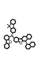 CC1(C)c2ccccc2-c2ccc(N(c3ccc4oc5c(-c6cccc7ccccc67)c6ccccc6cc5c4c3)c3cccc4c3oc3ccccc34)cc21